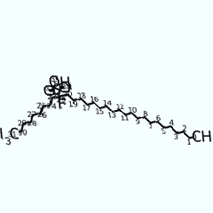 CCCCCCCCCCCCCCCCCCCCCC(F)(CCCCCCCCC)S(=O)(=O)O